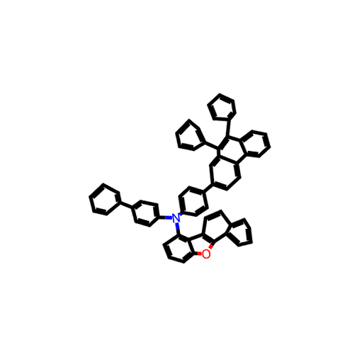 c1ccc(-c2ccc(N(c3ccc(-c4ccc5c(c4)c(-c4ccccc4)c(-c4ccccc4)c4ccccc45)cc3)c3cccc4oc5c6ccccc6ccc5c34)cc2)cc1